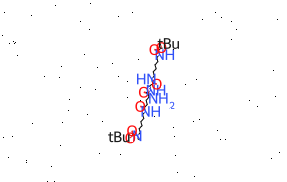 CN(CCCCCCNC(=O)CC[C@@H](N)C(=O)NCC(=O)NCCCCCCNC(=O)OC(C)(C)C)C(=O)OC(C)(C)C